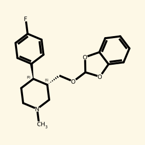 CN1CC[C@@H](c2ccc(F)cc2)[C@H](COC2Oc3ccccc3O2)C1